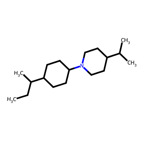 CCC(C)C1CCC(N2CCC(C(C)C)CC2)CC1